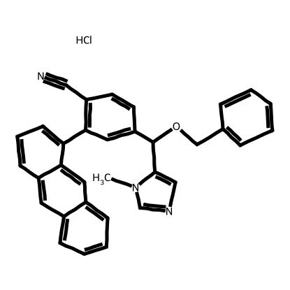 Cl.Cn1cncc1C(OCc1ccccc1)c1ccc(C#N)c(-c2cccc3cc4ccccc4cc23)c1